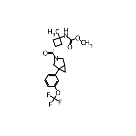 COC(=O)N[C@]1(C)C[C@H](C(=O)N2CC3CC3(c3cccc(OC(F)(F)F)c3)C2)C1